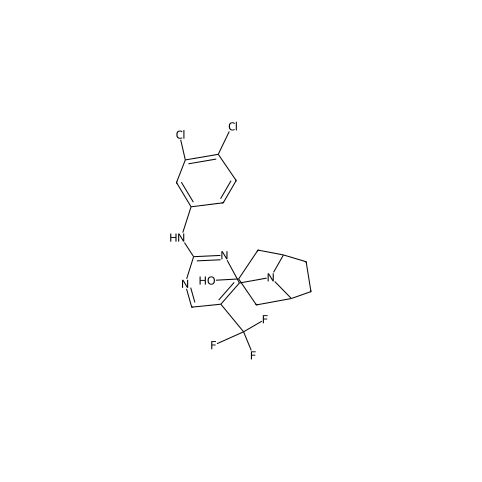 OC1CC2CCC(C1)N2c1nc(Nc2ccc(Cl)c(Cl)c2)ncc1C(F)(F)F